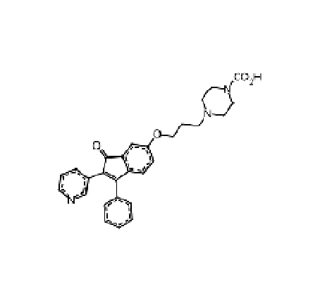 O=C1C(c2cccnc2)=C(c2ccccc2)c2ccc(OCCCN3CCN(C(=O)O)CC3)cc21